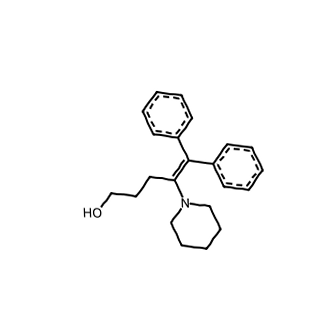 OCCCC(=C(c1ccccc1)c1ccccc1)N1CCCCC1